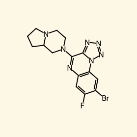 Fc1cc2nc(N3CCN4CCCC4C3)c3nnnn3c2cc1Br